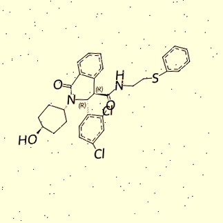 O=C(NCCSc1ccccc1)[C@@H]1c2ccccc2C(=O)N([C@H]2CC[C@H](O)CC2)[C@H]1c1ccc(Cl)cc1Cl